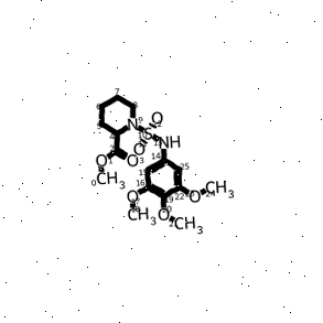 COC(=O)C1CCCCN1S(=O)(=O)Nc1cc(OC)c(OC)c(OC)c1